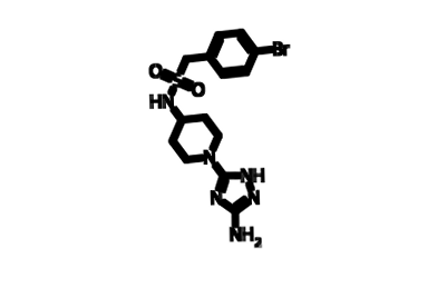 Nc1n[nH]c(N2CCC(NS(=O)(=O)Cc3ccc(Br)cc3)CC2)n1